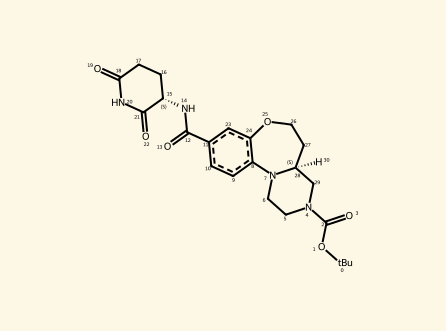 CC(C)(C)OC(=O)N1CCN2c3ccc(C(=O)N[C@H]4CCC(=O)NC4=O)cc3OCC[C@H]2C1